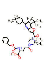 CC1(C)CCC(c2cc(C(C)(C)C)c3oc(C(=O)N4CCN(C(=O)CCC(NC(=O)OCc5ccccc5)C(=O)O)CC4(C)C)cc3n2)CC1